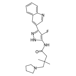 CC(C)(CC(=O)Nc1[nH]nc(-c2cnc3ccccc3c2)c1F)CN1CCCC1